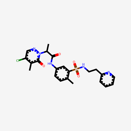 Cc1ccc(NC(=O)C(C)n2ncc(Cl)c(C)c2=O)cc1S(=O)(=O)NCCc1ccccn1